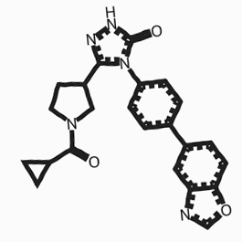 O=C(C1CC1)N1CCC(c2n[nH]c(=O)n2-c2ccc(-c3ccc4ocnc4c3)cc2)C1